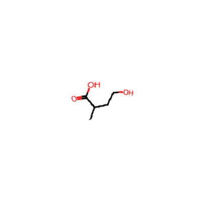 CC(CCO)C(=O)O